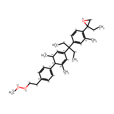 CCC1(c2ccc(C(CC)(CC)C3=CC(C)C(c4ccc(CCOOC)cc4)C(C)=C3)cc2C)CO1